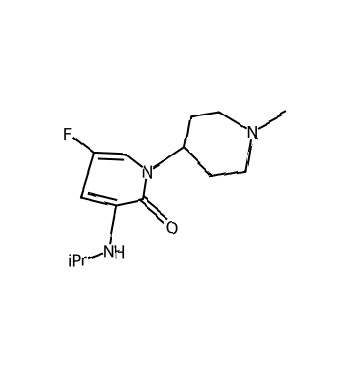 CC(C)Nc1cc(F)cn(C2CCN(C)CC2)c1=O